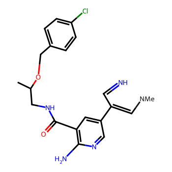 CN/C=C(\C=N)c1cnc(N)c(C(=O)NCC(C)OCc2ccc(Cl)cc2)c1